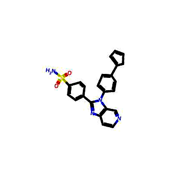 NS(=O)(=O)c1ccc(-c2nc3ccncc3n2-c2ccc(C3=CC=CC3)cc2)cc1